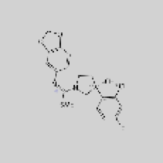 CS/C(=N/c1ccc2c(c1)OCO2)N1CC[C@@](C)(c2ccc(F)cc2Cl)C1